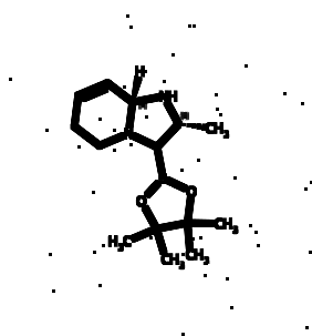 C[C@H]1N[C@H]2C=CCCN2C1B1OC(C)(C)C(C)(C)O1